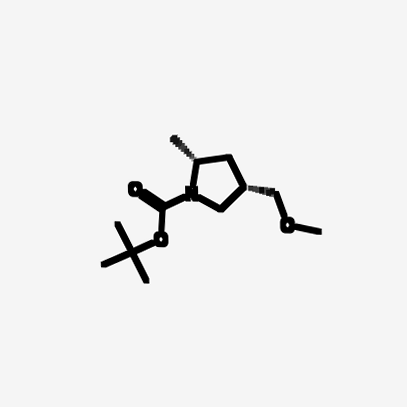 COC[C@H]1C[C@@H](C)N(C(=O)OC(C)(C)C)C1